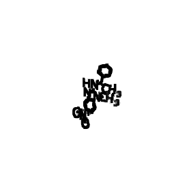 CC(Nc1nc2cc([N+](=O)[O-])ccc2n1C)c1ccccc1